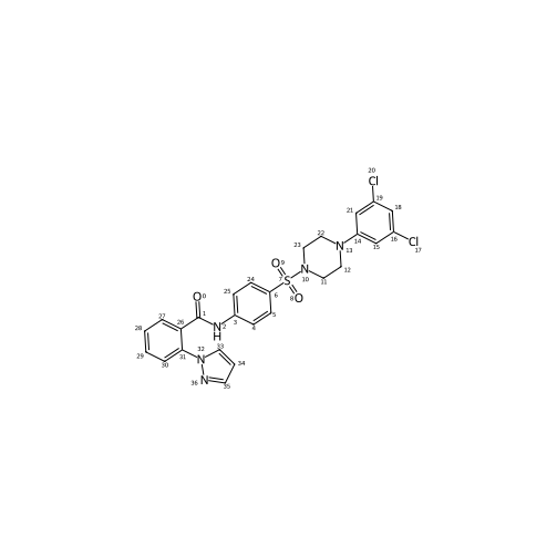 O=C(Nc1ccc(S(=O)(=O)N2CCN(c3cc(Cl)cc(Cl)c3)CC2)cc1)c1ccccc1-n1cccn1